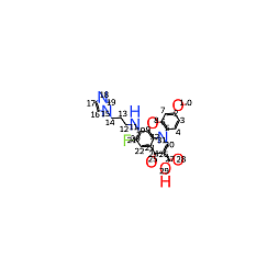 COc1ccc2c(c1)Oc1c(NCCCn3ccnc3)c(F)cc3c(=O)c(C(=O)O)cn-2c13